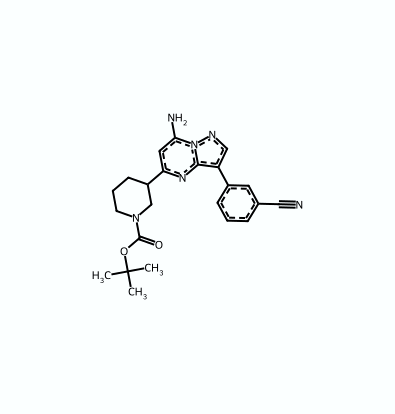 CC(C)(C)OC(=O)N1CCCC(c2cc(N)n3ncc(-c4cccc(C#N)c4)c3n2)C1